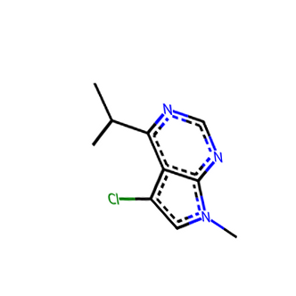 CC(C)c1ncnc2c1c(Cl)cn2C